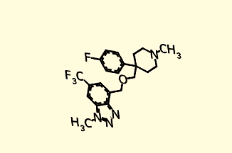 CN1CCC(COCc2cc(C(F)(F)F)cc3c2nnn3C)(c2ccc(F)cc2)CC1